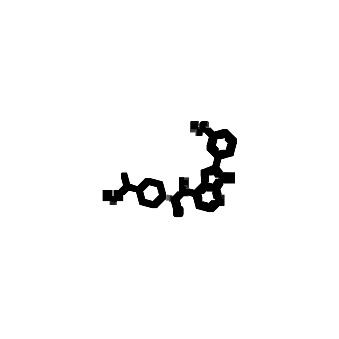 CC(N)[C@H]1CC[C@H](C(=O)Nc2ccnc3[nH]c(-c4cccc(C(F)(F)F)c4)cc23)CC1